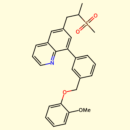 COc1ccccc1OCc1cccc(-c2cc(CC(C)S(C)(=O)=O)cc3cccnc23)c1